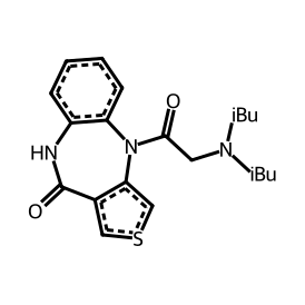 CCC(C)N(CC(=O)N1c2ccccc2NC(=O)c2cscc21)C(C)CC